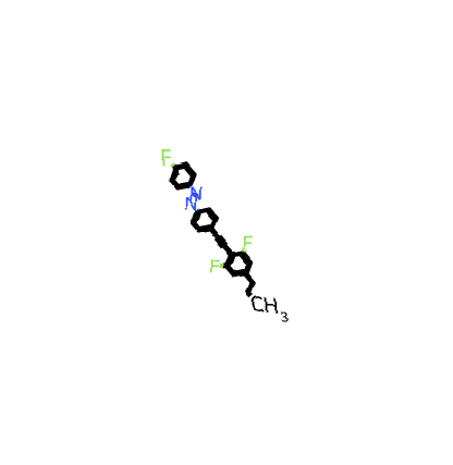 CCCc1cc(F)c(C#Cc2ccc(N=Nc3ccc(F)cc3)cc2)c(F)c1